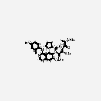 CN[C@@H](C)C(=O)N[C@H](C(=O)N(C(=O)[C@@H]1CCCN1)c1cc2c(Nc3ccc(Br)cc3F)ncnc2cc1OC)C(C)(C)C